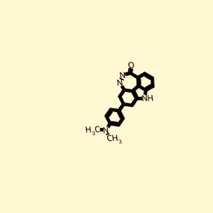 CN(C)c1ccc(C2Cc3[nH]c4cccc5c4c3C(C2)N=NC5=O)cc1